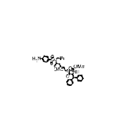 COC(=O)NC(C(=O)NCCCCC(COC(C)=O)N(CC(C)C)S(=O)(=O)c1ccc(N)cc1)C(c1ccccc1)c1ccccc1